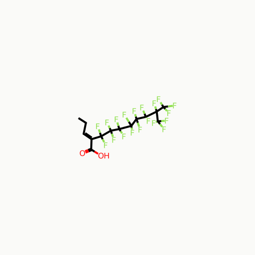 CCC=C(C(=O)O)C(F)(F)C(F)(F)C(F)(F)C(F)(F)C(F)(F)C(F)(F)C(F)(C(F)(F)F)C(F)(F)F